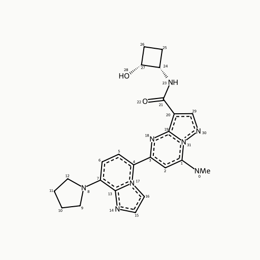 CNc1cc(-c2ccc(N3CCCC3)c3nccn23)nc2c(C(=O)N[C@H]3CC[C@H]3O)cnn12